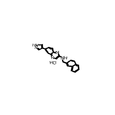 Cl.c1ccc2cc(CNc3cnc4cc(-c5cn[nH]c5)ccc4n3)ccc2c1